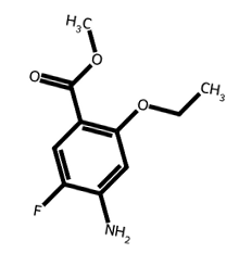 CCOc1cc(N)c(F)cc1C(=O)OC